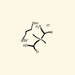 CCC(N)[N+](C)(C)C(O)CC.CCCCCCCCCCCCCCCCCCCCCC.[Cl-]